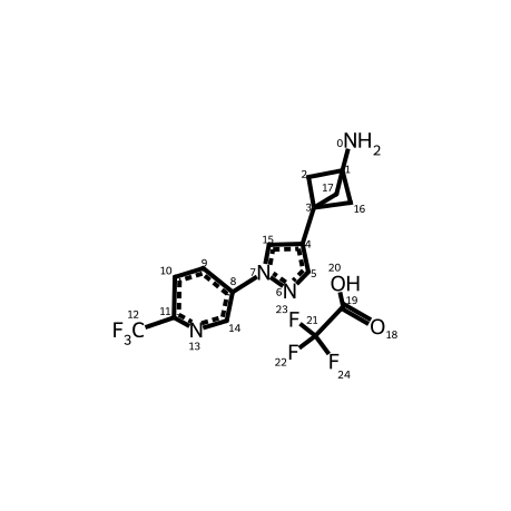 NC12CC(c3cnn(-c4ccc(C(F)(F)F)nc4)c3)(C1)C2.O=C(O)C(F)(F)F